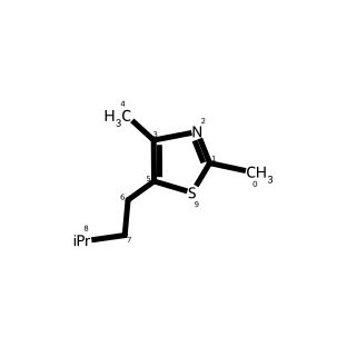 Cc1nc(C)c(CCC(C)C)s1